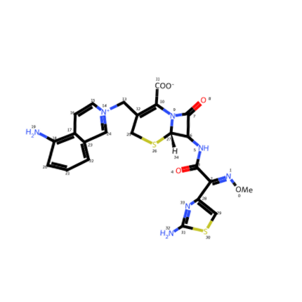 CON=C(C(=O)NC1C(=O)N2C(C(=O)[O-])=C(C[n+]3ccc4c(N)cccc4c3)CS[C@@H]12)c1csc(N)n1